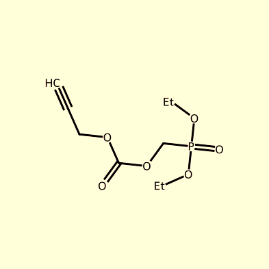 C#CCOC(=O)OCP(=O)(OCC)OCC